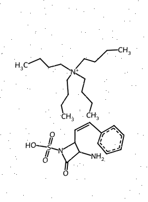 CCCC[N+](CCCC)(CCCC)CCCC.NC1C(=O)N(S(=O)(=O)O)C1/C=C\c1ccccc1